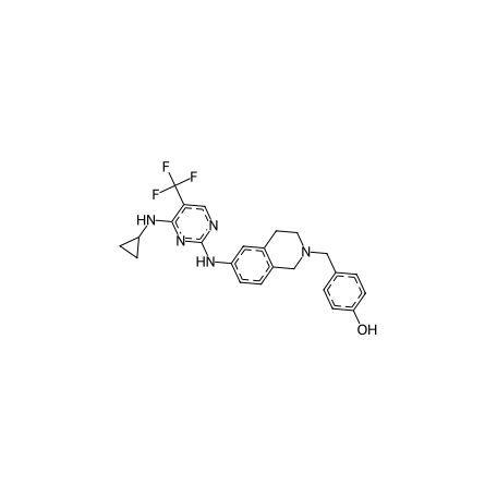 Oc1ccc(CN2CCc3cc(Nc4ncc(C(F)(F)F)c(NC5CC5)n4)ccc3C2)cc1